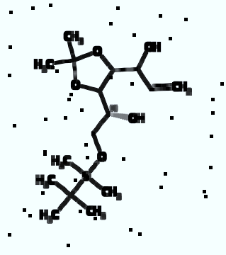 C=CC(O)C1OC(C)(C)OC1[C@H](O)CO[Si](C)(C)C(C)(C)C